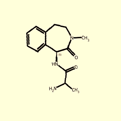 CC(N)C(=O)N[C@@H]1C(=O)N(C)CCc2ccccc21